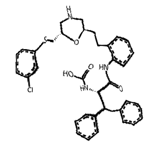 O=C(O)N[C@H](C(=O)Nc1ccccc1CC[C@@H]1CNC[C@@H](CSc2cccc(Cl)c2)O1)C(c1ccccc1)c1ccccc1